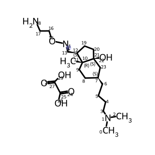 CN(C)CCCC[C@H]1CC[C@]2(C)[C@@H](/C=N/OCCN)CC[C@]2(O)C1.O=C(O)C(=O)O